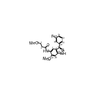 COCCC(=O)Nc1cc2c(-c3cccc(F)c3)n[nH]c2cc1OC